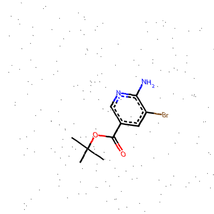 CC(C)(C)OC(=O)c1cnc(N)c(Br)c1